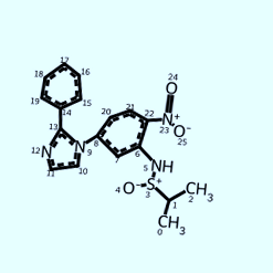 CC(C)[S+]([O-])Nc1cc(-n2ccnc2-c2ccccc2)ccc1[N+](=O)[O-]